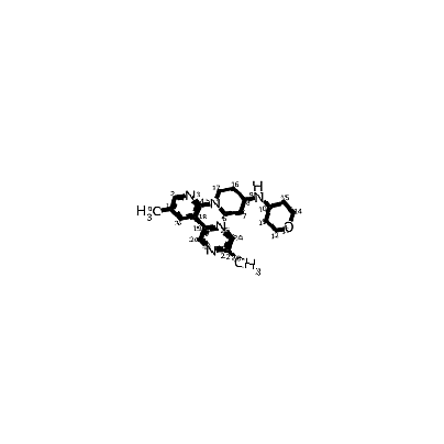 Cc1cnc(N2CCC(NC3CCOCC3)CC2)c(-c2cnc(C)cn2)c1